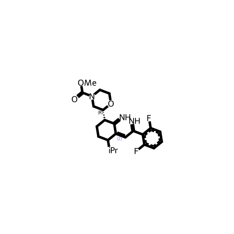 COC(=O)N1CCO[C@H](C2CCC(C(C)C)/C(=C/C(=N)c3c(F)cccc3F)C2=N)C1